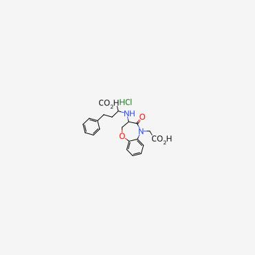 Cl.O=C(O)CN1C(=O)C(NC(CCc2ccccc2)C(=O)O)COc2ccccc21